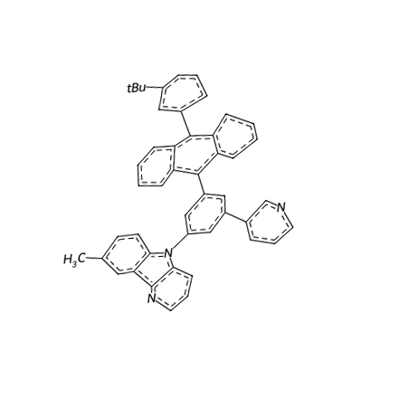 Cc1ccc2c(c1)c1ncccc1n2-c1cc(-c2cccnc2)cc(-c2c3ccccc3c(-c3cccc(C(C)(C)C)c3)c3ccccc23)c1